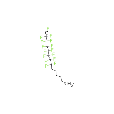 [CH2]CCCC[CH]C(F)(F)C(F)(F)C(F)(F)C(F)(F)C(F)(F)C(F)(F)C(F)(F)CF